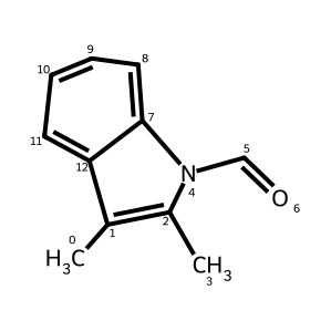 Cc1c(C)n(C=O)c2ccccc12